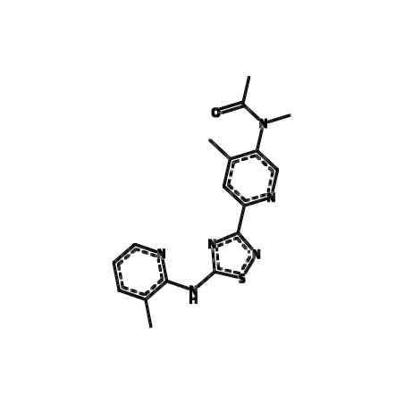 CC(=O)N(C)c1cnc(-c2nsc(Nc3ncccc3C)n2)cc1C